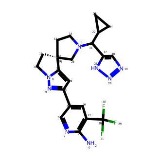 Nc1ncc(-c2cc3n(n2)CC[C@@]32CCN(C(c3cnn[nH]3)C3CC3)C2)cc1C(F)(F)F